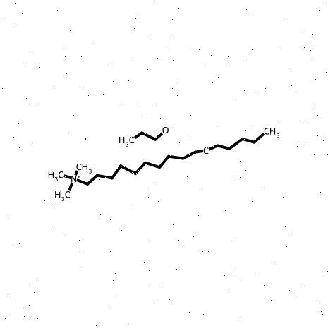 CCCCCCCCCCCCCCCC[N+](C)(C)C.CCC[O-]